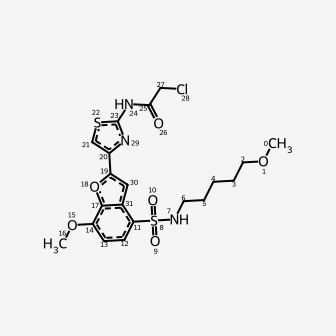 COCCCCCNS(=O)(=O)c1ccc(OC)c2oc(-c3csc(NC(=O)CCl)n3)cc12